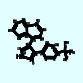 FC(F)(F)c1ccc(-c2n[nH]cc2-c2ccnc3ccccc23)cn1